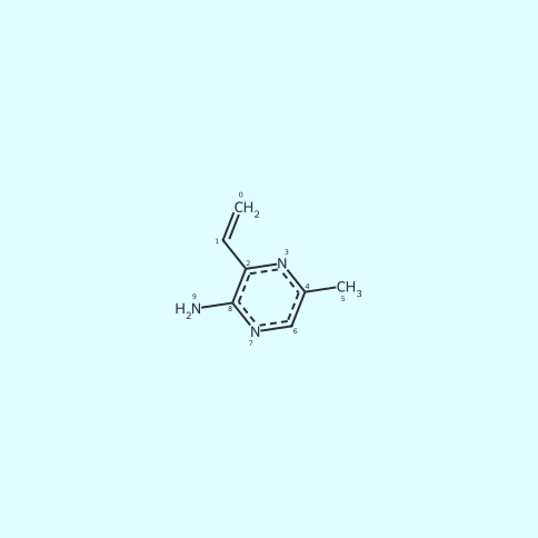 C=Cc1nc(C)cnc1N